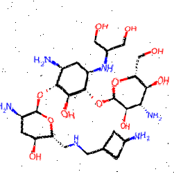 NC1CC(CNC[C@H]2O[C@H](O[C@H]3[C@H](O)[C@@H](O[C@H]4O[C@H](CO)[C@@H](O)[C@H](N)[C@H]4O)[C@H](NC(CO)CO)C[C@@H]3N)[C@H](N)C[C@@H]2O)C1